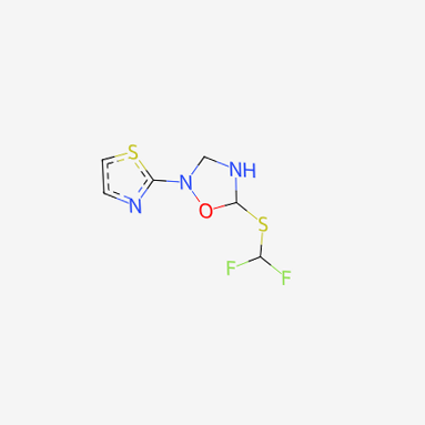 FC(F)SC1NCN(c2nccs2)O1